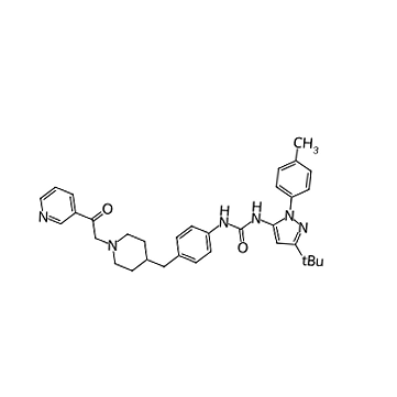 Cc1ccc(-n2nc(C(C)(C)C)cc2NC(=O)Nc2ccc(CC3CCN(CC(=O)c4cccnc4)CC3)cc2)cc1